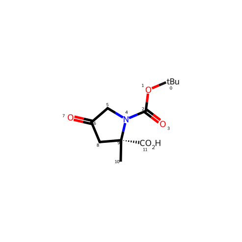 CC(C)(C)OC(=O)N1CC(=O)C[C@@]1(C)C(=O)O